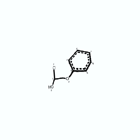 OC(Cl)Oc1ccccc1